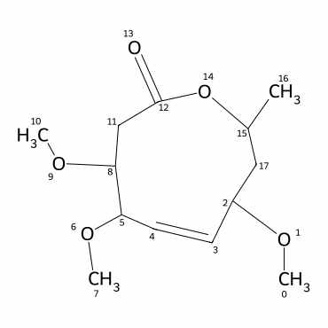 COC1C=CC(OC)C(OC)CC(=O)OC(C)C1